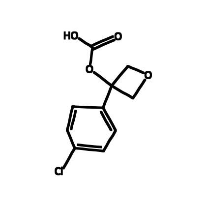 O=C(O)OC1(c2ccc(Cl)cc2)COC1